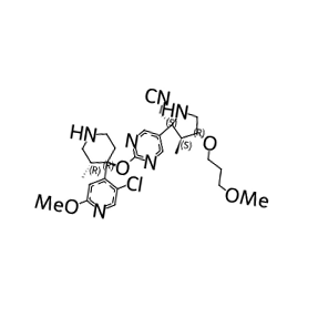 COCCCO[C@H]1CN[C@](CC#N)(c2cnc(O[C@]3(c4cc(OC)ncc4Cl)CCNC[C@H]3C)nc2)[C@@H]1C